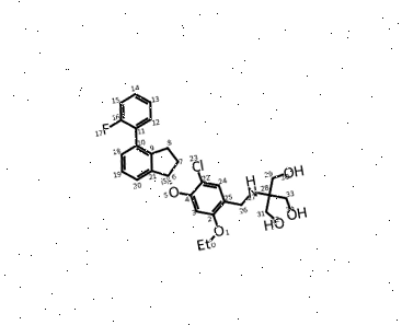 CCOc1cc(O[C@H]2CCc3c(-c4ccccc4F)cccc32)c(Cl)cc1CNC(CO)(CO)CO